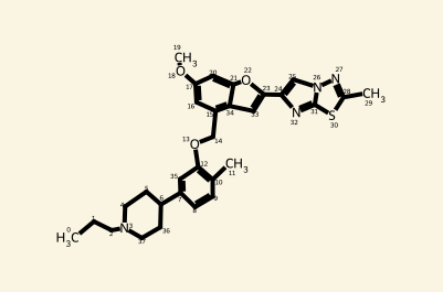 CCCN1CCC(c2ccc(C)c(OCc3cc(OC)cc4oc(-c5cn6nc(C)sc6n5)cc34)c2)CC1